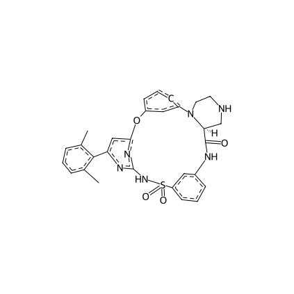 Cc1cccc(C)c1-c1cc2nc(n1)NS(=O)(=O)c1cccc(c1)NC(=O)[C@@H]1CNCCN1c1cccc(c1)O2